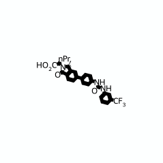 CCCC(C(=O)O)N1C(=O)c2ccc(-c3ccc(NC(=O)Nc4cccc(C(F)(F)F)c4)cc3)cc2[C@H]1C